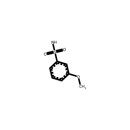 COc1cccc(S([NH])(=O)=O)c1